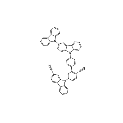 N#Cc1ccc2c3ccccc3n(-c3ccc(C#N)c(-c4ccc(-n5c6ccccc6c6cc(-n7c8ccccc8c8ccccc87)ccc65)cc4)c3)c2c1